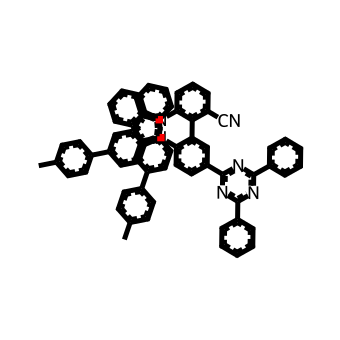 Cc1ccc(-c2ccc3c(c2)c2ccccc2n3-c2ccc(-c3nc(-c4ccccc4)nc(-c4ccccc4)n3)cc2-c2c(C#N)cccc2-n2c3ccccc3c3cc(-c4ccc(C)cc4)ccc32)cc1